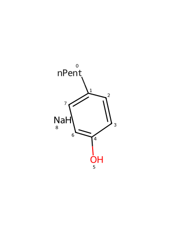 CCCCCc1ccc(O)cc1.[NaH]